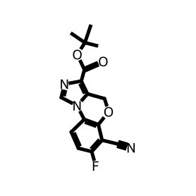 CC(C)(C)OC(=O)c1ncn2c1COc1c-2ccc(F)c1C#N